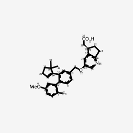 COc1ccc(F)c(-c2ccc(COc3cnc4c(c3)[C@@H](CC(=O)O)CC4)cc2C2=CCCC2(C)C)c1